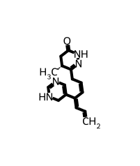 C=C/C=C(\C=C/CC1=NNC(=O)C[C@H]1C)C1=CN=CNC1